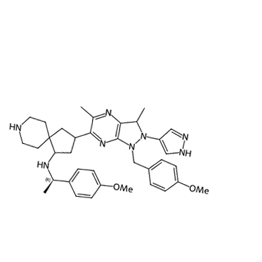 COc1ccc(CN2c3nc(C4CC(N[C@H](C)c5ccc(OC)cc5)C5(CCNCC5)C4)c(C)nc3C(C)N2c2cn[nH]c2)cc1